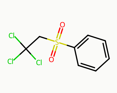 O=S(=O)(CC(Cl)(Cl)Cl)c1ccccc1